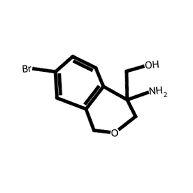 NC1(CO)COCc2cc(Br)ccc21